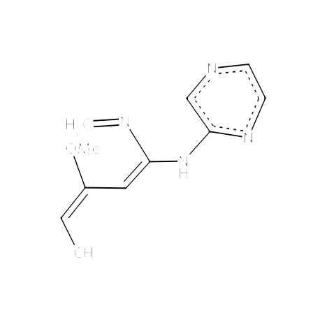 C=N/C(=C\C(=C/C)OC)Nc1cnccn1